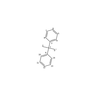 [CH]C(C)(c1ccccc1)c1ccccc1